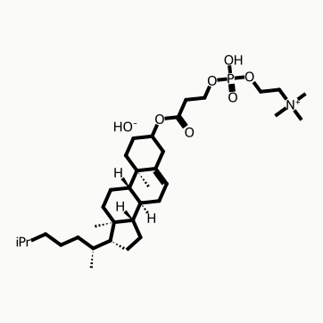 CC(C)CCC[C@@H](C)[C@H]1CC[C@H]2[C@@H]3CC=C4CC(OC(=O)CCOP(=O)(O)OCC[N+](C)(C)C)CC[C@]4(C)[C@H]3CC[C@]12C.[OH-]